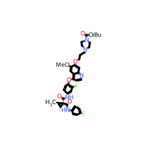 COc1cc2c(Oc3ccc(NC(=O)[C@]4(C(=O)Nc5ccc(F)cc5)C[C@H]4C)cc3F)ccnc2cc1OCCCN1CCN(C(=O)OCC(C)C)CC1